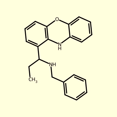 CCC(NCc1ccccc1)c1cccc2c1Nc1ccccc1O2